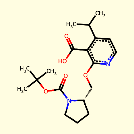 CC(C)c1ccnc(OC[C@@H]2CCCN2C(=O)OC(C)(C)C)c1C(=O)O